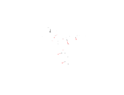 C=C(C)C(=O)OC(C)(OC(=O)CC(C)=O)OC(=O)CC(C)=O